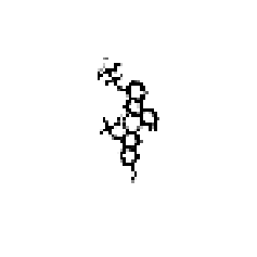 CCc1ccc2c(CC(C)(C)C)c3c(cc2c1)-c1nccc2c1c(cc1c(CC(C)(C)C(F)(F)F)cccc12)O3